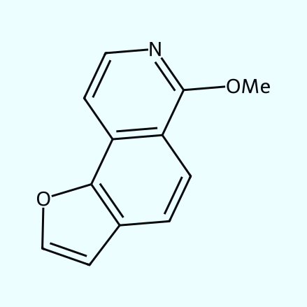 COc1nccc2c1ccc1ccoc12